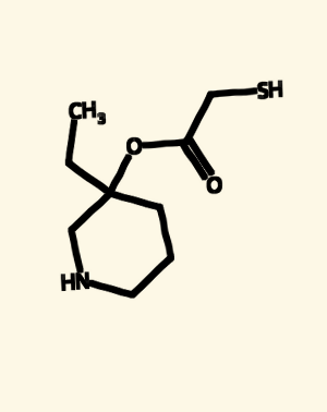 CCC1(OC(=O)CS)CCCNC1